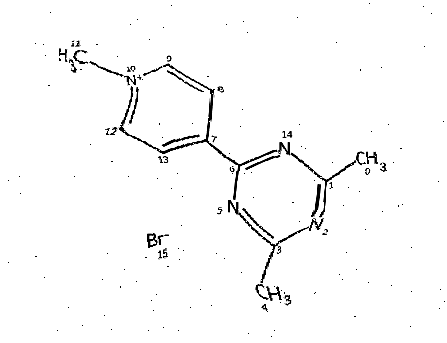 Cc1nc(C)nc(-c2cc[n+](C)cc2)n1.[Br-]